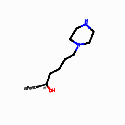 CCCCC[C@H](O)CCCCN1CCNCC1